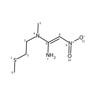 CSCCN(C)C(N)=C[N+](=O)[O-]